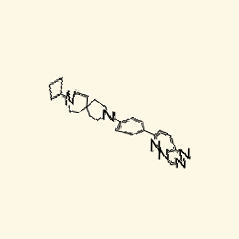 c1cc(N2CCC3(CC2)CCN(C2CCC2)CC3)ccc1-c1ccc2nncn2n1